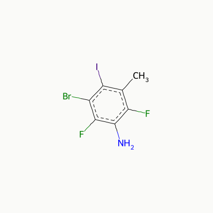 Cc1c(F)c(N)c(F)c(Br)c1I